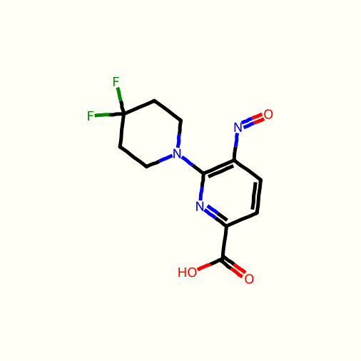 O=Nc1ccc(C(=O)O)nc1N1CCC(F)(F)CC1